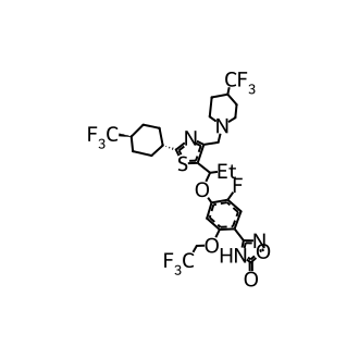 CCC(Oc1cc(OCC(F)(F)F)c(-c2noc(=O)[nH]2)cc1F)c1sc([C@H]2CC[C@H](C(F)(F)F)CC2)nc1CN1CCC(C(F)(F)F)CC1